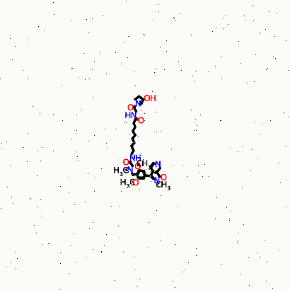 COc1cc(-c2cn(C)c(=O)c3cnccc23)cc(OC)c1CN(C)CC(=O)NCCCCCCCCCC(=O)NCC(=O)N1CC[C@H](O)C1